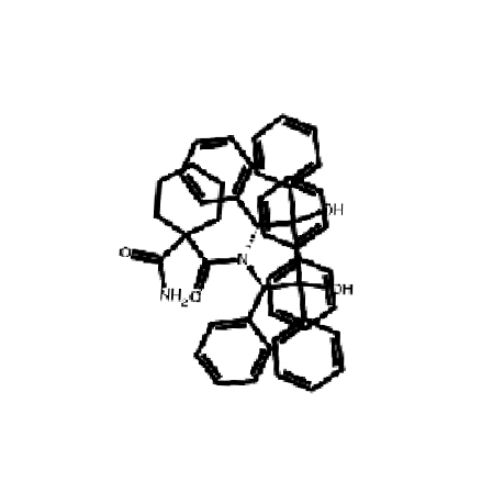 NC(=O)C1(C(=O)N([C@H](c2ccccc2)C(O)(c2ccccc2)c2ccccc2)[C@H](c2ccccc2)C(O)(c2ccccc2)c2ccccc2)CCCCC1